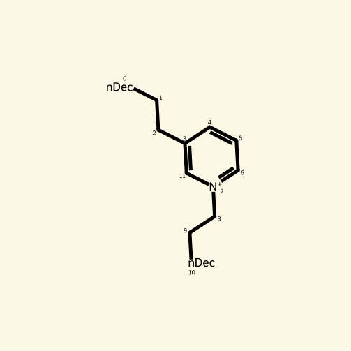 CCCCCCCCCCCCc1ccc[n+](CCCCCCCCCCCC)c1